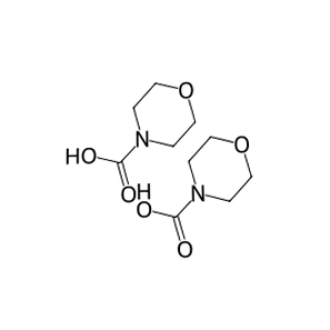 O=C(O)N1CCOCC1.O=C(O)N1CCOCC1